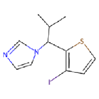 CC(C)C(c1sccc1I)n1ccnc1